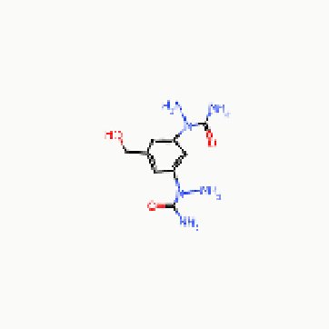 NC(=O)N(N)c1cc(CO)cc(N(N)C(N)=O)c1